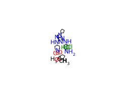 CC1(C)[C@@H]2CC[C@]1(CS(=O)(=O)N1CCC(Nc3nc(NC4CCC(N)CC4)nc4c3ncn4C3CCCC3)CC1)C(=O)C2.Cl.Cl